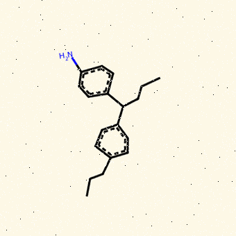 CCCc1ccc(C(CCC)c2ccc(N)cc2)cc1